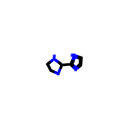 c1c[nH]c(C2[N]CCN2)n1